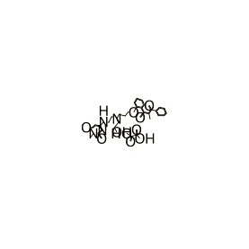 Cc1c(-c2ccccc2)oc2cccc(OCCCN(CCO)CCNc3cc(=O)n(C)c(=O)n3C)c2c1=O.O=C(O)C(=O)O